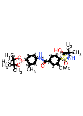 COc1cc(C(=O)Nc2ccc(B3OC(C)(C)C(C)(C)O3)c(C)c2)ccc1S1(=O)=C(O)C(C)(C)N1